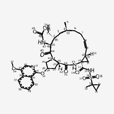 CC[C@@H]1C[C@@H](C)CCC=C[C@@H]2C[C@@]2(C(=O)NS(=O)(=O)C2(C)CC2)NC(=O)[C@@H]2C[C@@H](Oc3ncc(OC)c4ccccc34)CN2C(=O)[C@H]1NC(=O)O